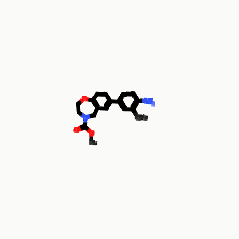 COc1cc(-c2ccc3c(c2)CN(C(=O)OC(C)(C)C)CCO3)ccc1N